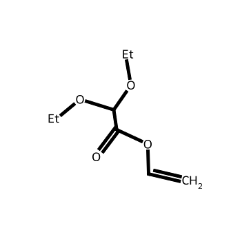 C=COC(=O)C(OCC)OCC